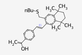 C=C(O)c1ccc(/C=C/c2cc3c(cc2CSCCCC)C(C)(C)CCC3(C)C)cc1